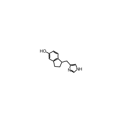 Oc1ccc2c(c1)CCC2Cc1c[nH]cn1